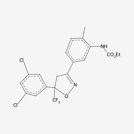 CCOC(=O)Nc1cc(C2=NOC(c3cc(Cl)cc(Cl)c3)(C(F)(F)F)C2)ccc1C